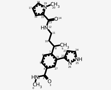 CNC(=O)c1ccc(C(C)CCNC(=O)c2cccn2C)c(-c2cc[nH]n2)c1